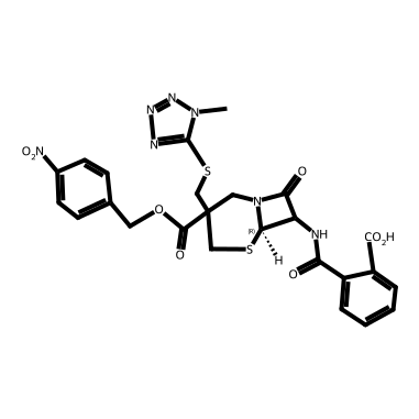 Cn1nnnc1SCC1(C(=O)OCc2ccc([N+](=O)[O-])cc2)CS[C@@H]2C(NC(=O)c3ccccc3C(=O)O)C(=O)N2C1